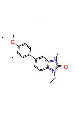 CCn1c(=O)n(C)c2cc(-c3ccc(OC)cc3)ccc21